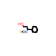 OCCC(N=C=S)c1ccccc1